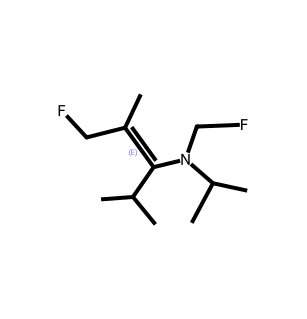 C/C(CF)=C(/C(C)C)N(CF)C(C)C